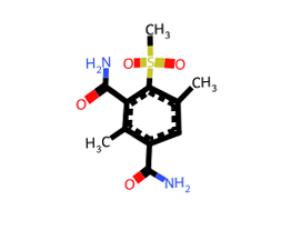 Cc1cc(C(N)=O)c(C)c(C(N)=O)c1S(C)(=O)=O